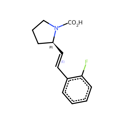 O=C(O)N1CCC[C@@H]1/C=C/c1ccccc1F